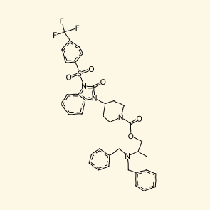 CC(COC(=O)N1CCC(n2c(=O)n(S(=O)(=O)c3ccc(C(F)(F)F)cc3)c3ccccc32)CC1)N(Cc1ccccc1)Cc1ccccc1